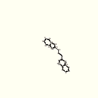 C(=C\c1cnc2ccccc2n1)/Cc1cn2ccccc2n1